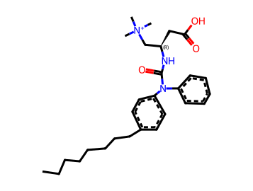 CCCCCCCCc1ccc(N(C(=O)N[C@H](CC(=O)O)C[N+](C)(C)C)c2ccccc2)cc1